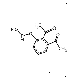 CC(=O)c1cccc(OPO)c1C(C)=O